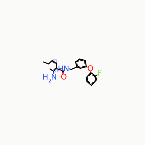 CC/C=C\C(C(=O)NCc1cccc(Oc2ccccc2F)c1)=C(/C)N